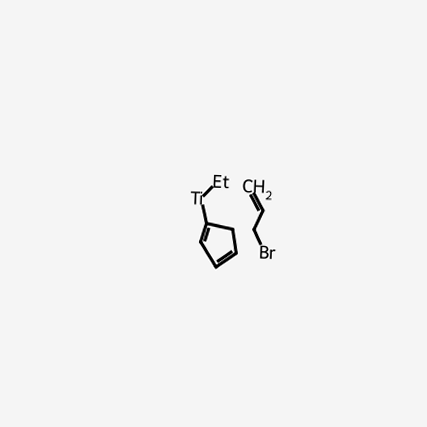 C=CCBr.C[CH2][Ti][C]1=CC=CC1